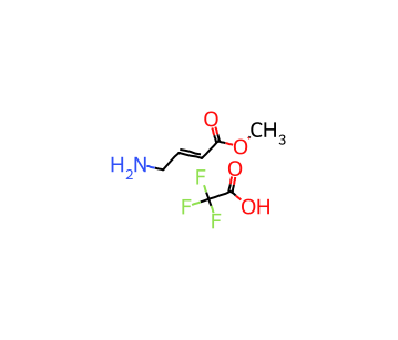 COC(=O)/C=C/CN.O=C(O)C(F)(F)F